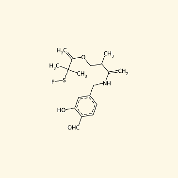 C=C(NCc1ccc(C=O)c(O)c1)C(C)COC(=C)C(C)(C)SF